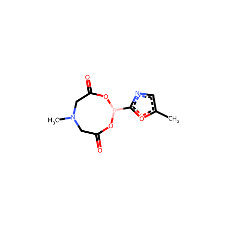 Cc1cnc(B2OC(=O)CN(C)CC(=O)O2)o1